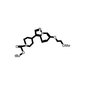 COCCOc1ccc2c(C3CCN(C(=O)OC(C)(C)C)CC3)cnn2c1